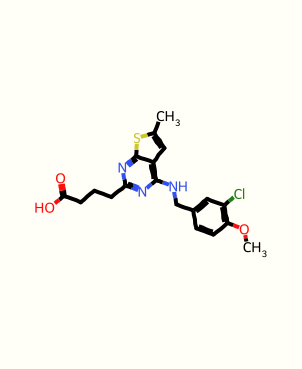 COc1ccc(CNc2nc(CCCC(=O)O)nc3sc(C)cc23)cc1Cl